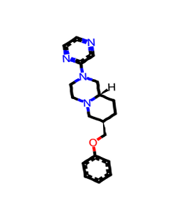 c1ccc(OC[C@@H]2CC[C@H]3CN(c4cnccn4)CCN3C2)cc1